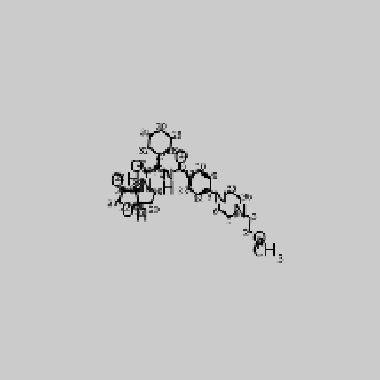 COCCN1CCN(c2ccc(C(=O)N[C@H](C(=O)N3CC[C@H]4OCC(=O)[C@@H]43)C3CCCCC3)cc2)CC1